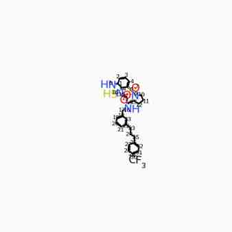 N=C1C=CC=C(S(=O)(=O)N2CCCC2C(=O)NCc2cccc(CCCc3ccc(C(F)(F)F)cc3)c2)/C1=N/S